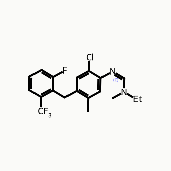 CCN(C)/C=N\c1cc(C)c(Cc2c(F)cccc2C(F)(F)F)cc1Cl